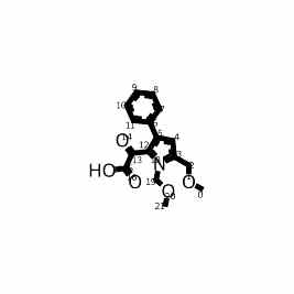 COCc1cc(-c2ccccc2)c(C(=O)C(=O)O)n1COC